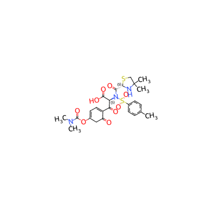 Cc1ccc(S(=O)(=O)N(C(=O)[C@H]2NC(C)(C)CS2)[C@H](C(=O)O)C(=O)C2=CC=C(OC(=O)N(C)C)CC2=O)cc1